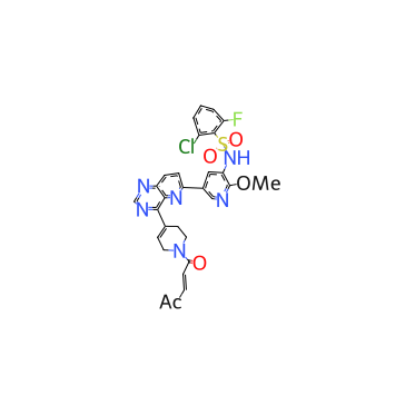 COc1ncc(-c2ccc3ncnc(C4=CCN(C(=O)/C=C/C(C)=O)CC4)c3n2)cc1NS(=O)(=O)c1c(F)cccc1Cl